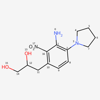 Nc1c(N2CCCC2)ccc(CC(O)CO)c1[N+](=O)[O-]